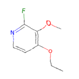 CCOc1ccnc(F)c1OC